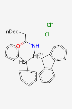 CCCCCCCCCCCC(=O)[NH][Hf+2]([CH]1c2ccccc2-c2ccccc21)[SiH](c1ccccc1)c1ccccc1.[Cl-].[Cl-]